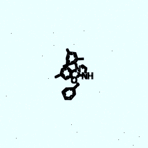 Cc1cc(C)c([N+]2(c3c(C)cc(C)cc3C)CCNC2OCc2ccccc2)c(C)c1